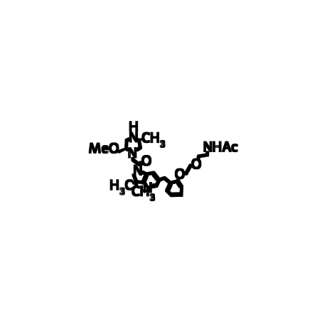 COC[C@H]1CN[C@H](C)CN1CC(=O)N1CC(C)(C)c2ncc(Cc3ccccc3OCCOCCNC(C)=O)cc21